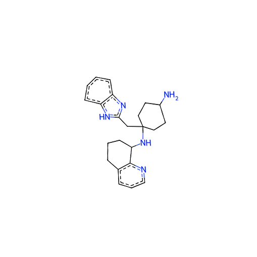 NC1CCC(Cc2nc3ccccc3[nH]2)(NC2CCCc3cccnc32)CC1